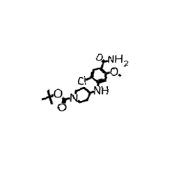 COc1cc(NC2CCN(C(=O)OC(C)(C)C)CC2)c(Cl)cc1C(N)=O